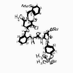 CSc1ccccc1Cn1c(C)cc(OCc2ccccc2CNC(=O)Nc2cc(C(C)(C)C)nn2-c2ccc(O[Si](C)(C)C(C)(C)C)cc2)c(Cl)c1=O